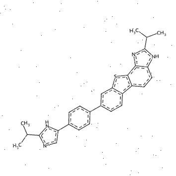 CC(C)c1ncc(-c2ccc(-c3ccc4c(c3)sc3c4ccc4[nH]c(C(C)C)nc43)cc2)[nH]1